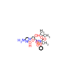 CC(C)OC(=O)[C@H](C)NP(=O)(OC[C@H]1O[C@@H](N2C=CC(N)=NC2O)C[C@H]1O)Oc1ccccc1